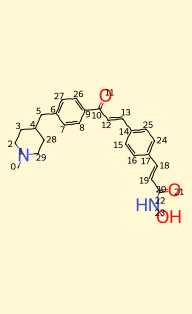 CN1CCC(Cc2ccc(C(=O)C=Cc3ccc(C=CC(=O)NO)cc3)cc2)CC1